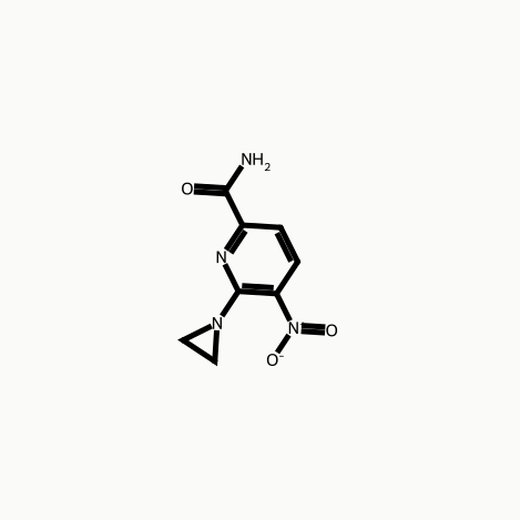 NC(=O)c1ccc([N+](=O)[O-])c(N2CC2)n1